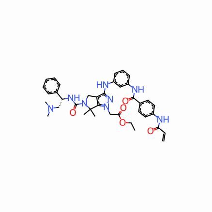 C=CC(=O)Nc1ccc(C(=O)Nc2cccc(Nc3nn(CC(=O)OCC)c4c3CN(C(=O)N[C@H](CN(C)C)c3ccccc3)C4(C)C)c2)cc1